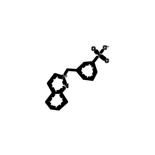 O=S(=O)([O-])c1cccc(C[n+]2ccc3ccccc3n2)c1